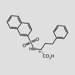 O=C(O)[C@@H](CCc1ccccc1)NS(=O)(=O)c1ccc2ccccc2c1